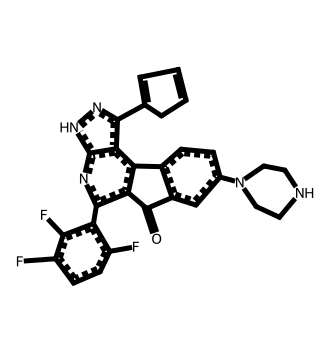 O=C1c2cc(N3CCNCC3)ccc2-c2c1c(-c1c(F)ccc(F)c1F)nc1[nH]nc(C3=CC=CC3)c21